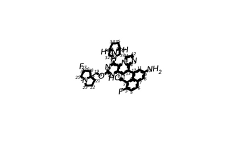 C#Cc1c(F)ccc2cc(N)cc(-c3cc4nc(OC[C@@]56CCCN5C[C@H](F)C6)nc(N5C[C@H]6CC[C@@H](C5)N6)c4n4ccnc34)c12